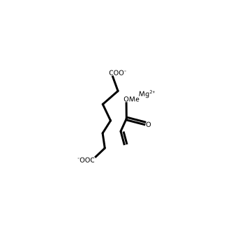 C=CC(=O)OC.O=C([O-])CCCCCC(=O)[O-].[Mg+2]